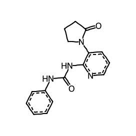 O=C(Nc1ccccc1)Nc1ncccc1N1CCCC1=O